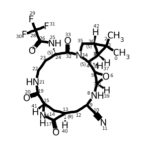 CC1(C)[C@@H]2[C@H]3C4O[C@@H]4NC(C#N)C[C@@H]4C[C@H](NC4=O)C(=O)NCC[C@H](NC(=O)C(F)(F)F)C(=O)N3C[C@@H]21